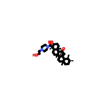 C[C@@H]1CC[C@]2(C)CC[C@]3(C)C(=CC(=O)C4[C@@]5(C)CC[C@@H](O)[C@](C)(C(=O)N6CCN(CCO)CC6)C5CC[C@]43C)C2[C@H]1C